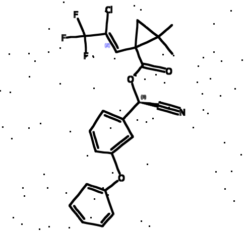 CC1(C)CC1(/C=C(\Cl)C(F)(F)F)C(=O)O[C@@H](C#N)c1cccc(Oc2ccccc2)c1